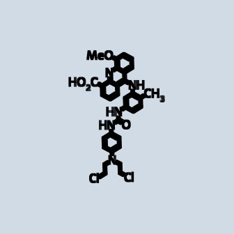 COc1cccc2c(Nc3cc(NC(=O)Nc4ccc(N(CCCl)CCCl)cc4)ccc3C)c3cccc(C(=O)O)c3nc12